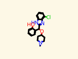 CN1CCC(OC(c2nc3c(Cl)cccc3[nH]2)c2ccccc2O)CC1